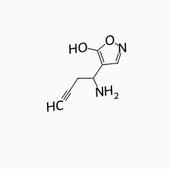 C#CCC(N)c1cnoc1O